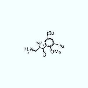 COc1c(C(=O)C(N)CN)cc(C(C)(C)C)cc1C(C)(C)C